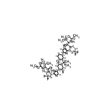 COC(=O)N[C@H](C(=O)N1CCC(F)(F)CC1c1nc(-c2ccc3c(c2)C(C)(C)c2cc(F)c(-c4cnc([C@@H]5CC(F)(F)CN5C(=O)[C@@H](NC(=O)OC)C(C)C)[nH]4)cc2O3)c[nH]1)C(C)C